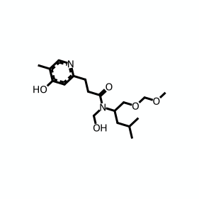 COCOCC(CC(C)C)N(CO)C(=O)CCc1cc(O)c(C)cn1